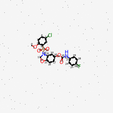 COc1ccc(Cl)cc1S(=O)(=O)N1COc2ccc(OC(=O)Nc3ccc(F)cc3)cc21